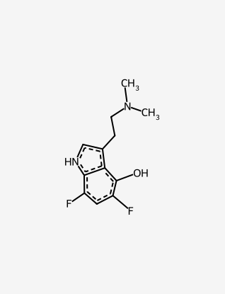 CN(C)CCc1c[nH]c2c(F)cc(F)c(O)c12